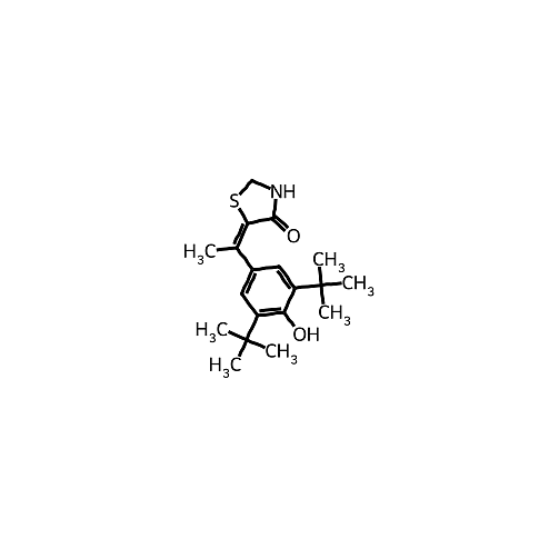 C/C(=C1\SCNC1=O)c1cc(C(C)(C)C)c(O)c(C(C)(C)C)c1